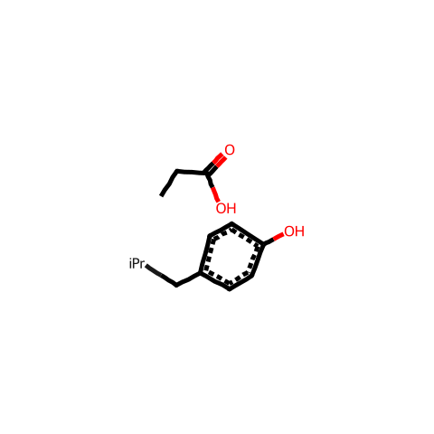 CC(C)Cc1ccc(O)cc1.CCC(=O)O